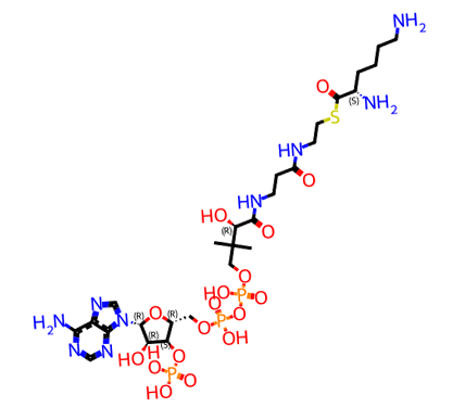 CC(C)(COP(=O)(O)OP(=O)(O)OC[C@H]1O[C@@H](n2cnc3c(N)ncnc32)[C@H](O)[C@@H]1OP(=O)(O)O)[C@@H](O)C(=O)NCCC(=O)NCCSC(=O)[C@@H](N)CCCCN